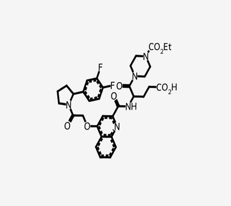 CCOC(=O)N1CCN(C(=O)C(CCC(=O)O)NC(=O)c2cc(OCC(=O)N3CCCC3c3ccc(F)c(F)c3)c3ccccc3n2)CC1